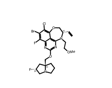 C=C[C@H]1COc2c(Cl)c(Br)c(F)c3nc(OC[C@@]45CCCN4C[C@H](F)C5)nc(c23)N1CCOC